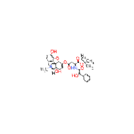 CN1CCC23c4c5ccc(O)c4OC2C(OC(=O)C[C@H](NC(=O)[C@@H](O)c2ccccc2)C(=O)OC(C)(C)C)=CC[C@@]3(O)[C@H]1C5